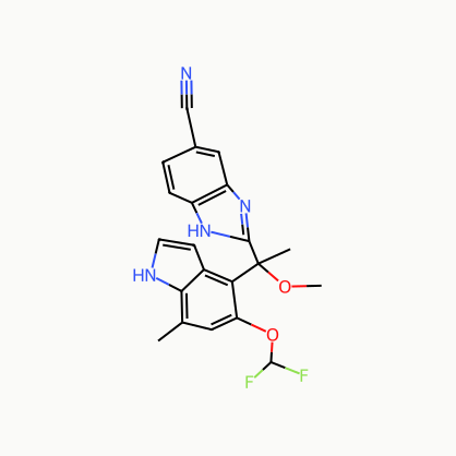 COC(C)(c1nc2cc(C#N)ccc2[nH]1)c1c(OC(F)F)cc(C)c2[nH]ccc12